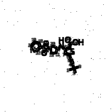 CC(C)(C)C#Cc1cc(N[C@H]2CCN(S(=O)(=O)c3cccnc3)C2)c(C(=O)O)s1